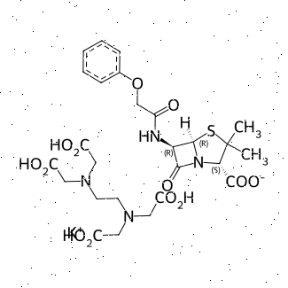 CC1(C)S[C@@H]2[C@H](NC(=O)COc3ccccc3)C(=O)N2[C@H]1C(=O)[O-].O=C(O)CN(CCN(CC(=O)O)CC(=O)O)CC(=O)O.[K+]